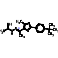 C/C(=N\NC(=N)N)c1sc(-c2ccc(C(C)(C)C)cc2)nc1C